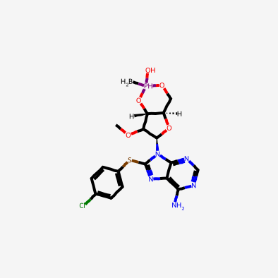 B[PH]1(O)OC[C@H]2O[C@@H](n3c(Sc4ccc(Cl)cc4)nc4c(N)ncnc43)C(OC)[C@@H]2O1